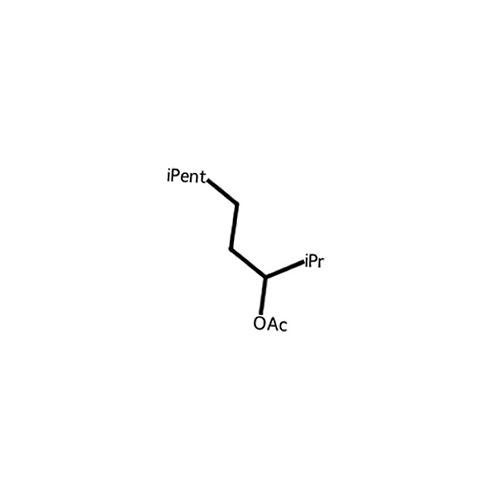 CCCC(C)CCC(OC(C)=O)C(C)C